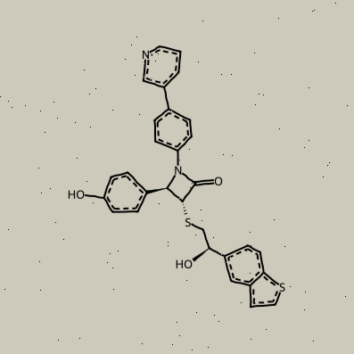 O=C1[C@H](SC[C@H](O)c2ccc3sccc3c2)[C@@H](c2ccc(O)cc2)N1c1ccc(-c2cccnc2)cc1